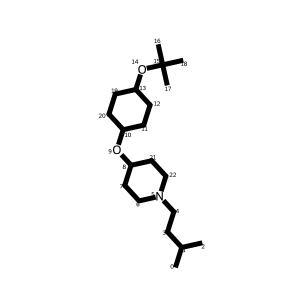 CC(C)CCN1CCC(OC2CCC(OC(C)(C)C)CC2)CC1